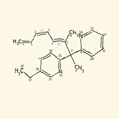 C=C/C=C\C=C(/C)C(C)(c1ccccn1)c1ccc(CC)cn1